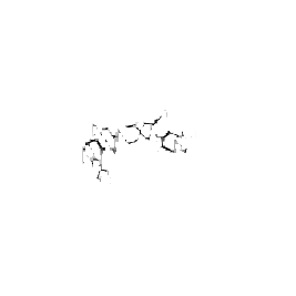 O=C1CC2(CCN(c3cnc4cnn(C5COC5)c4n3)CC2)CN1c1ccnc(C(F)(F)F)c1